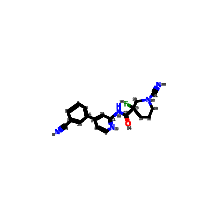 N#Cc1cccc(-c2ccnc(NC(=O)C3(F)CCCN(C#N)C3)c2)c1